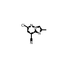 Cc1cn2nc(Cl)cc(C#N)c2n1